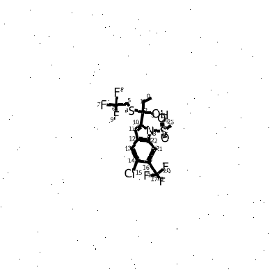 CCC(O)(SCC(F)(F)F)c1cc2cc(Cl)c(C(F)(F)F)cc2n1S(C)(=O)=O